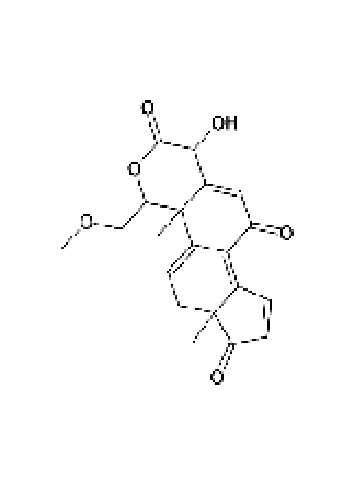 COCC1OC(=O)C(O)C2=CC(=O)C3=C4C=CC(=O)C4(C)CC=C3C21C